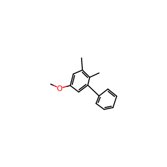 COc1cc(C)c(C)c(-c2ccccc2)c1